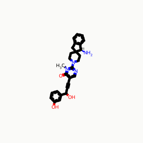 Cn1c(N2CCC3(CC2)Cc2ccccc2[C@H]3N)ncc(C#CC(O)c2cccc(O)c2)c1=O